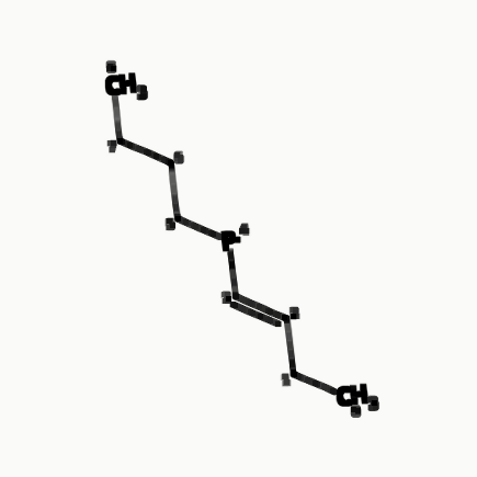 CCC=C[P]CCCC